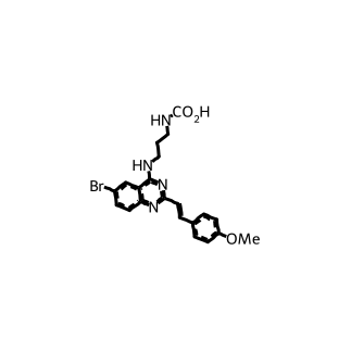 COc1ccc(C=Cc2nc(NCCCNC(=O)O)c3cc(Br)ccc3n2)cc1